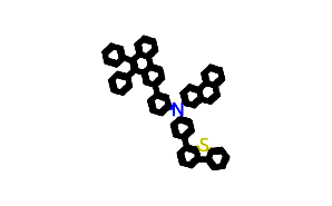 c1ccc(-c2c(-c3ccccc3)c3cc(-c4cccc(N(c5ccc(-c6cccc7c6sc6ccccc67)cc5)c5ccc6c(ccc7ccccc76)c5)c4)ccc3c3ccccc23)cc1